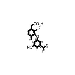 Cc1ccc(CC(=O)O)c(F)c1Oc1cc(C#N)cc(C(F)F)c1